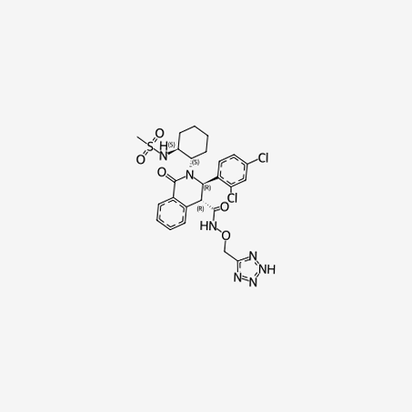 CS(=O)(=O)N[C@H]1CCCC[C@@H]1N1C(=O)c2ccccc2[C@@H](C(=O)NOCc2nn[nH]n2)[C@@H]1c1ccc(Cl)cc1Cl